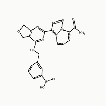 NC(=O)c1cccc2c(-c3nc4c(c(NCc5cccc(B(O)O)c5)n3)COC4)nnn12